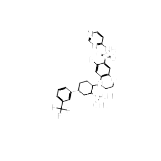 CN(C)[C@H]1C[C@@H](c2cccc(C(F)(F)F)c2)CCC1N1CCOc2cc(S(=O)(=O)Nc3ccncn3)c(F)cc21